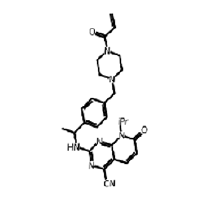 C=CC(=O)N1CCN(Cc2ccc(C(C)Nc3nc(C#N)c4ccc(=O)n(C(C)C)c4n3)cc2)CC1